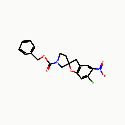 O=C(OCc1ccccc1)N1CCC2(Cc3cc([N+](=O)[O-])c(F)cc3O2)C1